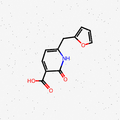 O=C(O)c1ccc(Cc2ccco2)[nH]c1=O